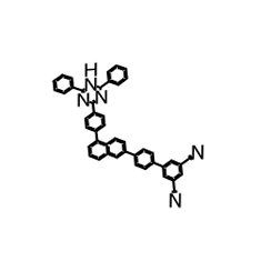 N#Cc1cc(C#N)cc(-c2ccc(-c3ccc4c(-c5ccc(C6=NC(c7ccccc7)NC(c7ccccc7)=N6)cc5)cccc4c3)cc2)c1